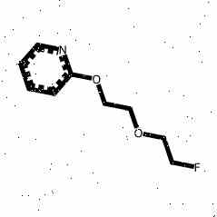 FCCOCCOc1cc[c]cn1